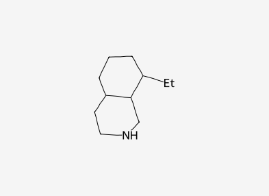 CCC1CCCC2CCNCC12